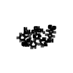 CC(C)(C)c1nc(-c2cccc(NS(=O)(=O)c3cccc4c3CCN4)c2F)c(-c2ccnc(NC3CC4(C3)CS(=O)(=O)C4)n2)s1